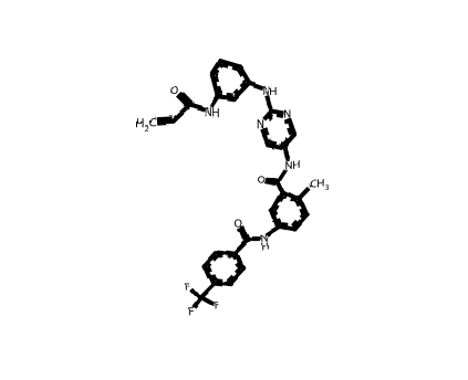 C=CC(=O)Nc1cccc(Nc2ncc(NC(=O)c3cc(NC(=O)c4ccc(C(F)(F)F)cc4)ccc3C)cn2)c1